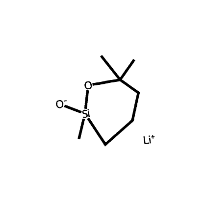 CC1(C)CCC[Si](C)([O-])O1.[Li+]